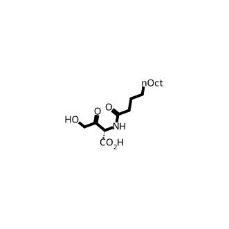 CCCCCCCCCCCC(=O)N[C@H](C(=O)O)C(=O)CO